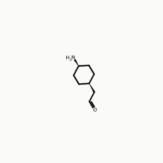 N[C@H]1CC[C@@H](CC=O)CC1